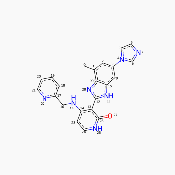 Cc1cc(-n2ccnc2)cc2[nH]c(-c3c(NCc4ccccn4)cc[nH]c3=O)nc12